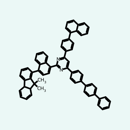 CC1(C)c2c(-c3ccc(-c4nc(-c5ccc(-c6ccc(-c7ccccc7)cc6)cc5)cc(-c5ccc(-c6cccc7ccccc67)cc5)n4)c4ccccc34)cccc2C2C=CC=CC21